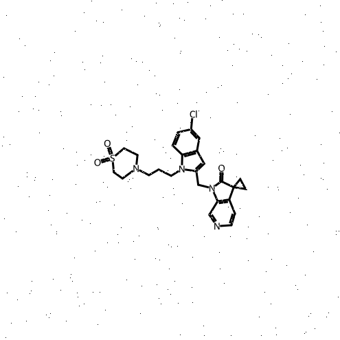 O=C1N(Cc2cc3cc(Cl)ccc3n2CCCN2CCS(=O)(=O)CC2)c2cnccc2C12CC2